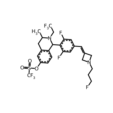 CC1Cc2cc(OS(=O)(=O)C(F)(F)F)ccc2C(c2c(F)cc(C=C3CN(CCCF)C3)cc2F)N1CC(F)(F)F